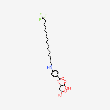 O=C(O)CC(OC(=O)c1ccc(NCCCCCCCCCCCCCCCC(F)(F)F)cc1)C(=O)O